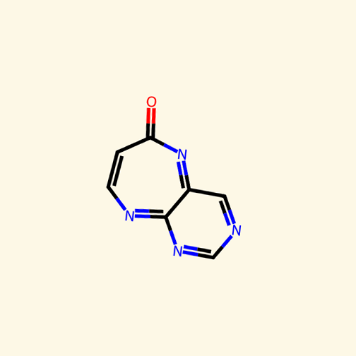 O=c1ccnc2ncncc2n1